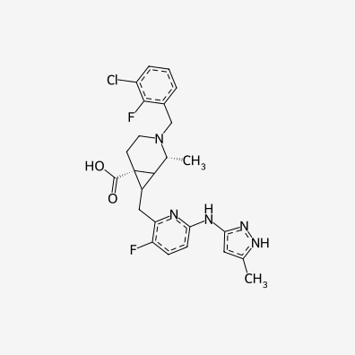 Cc1cc(Nc2ccc(F)c(CC3C4[C@@H](C)N(Cc5cccc(Cl)c5F)CC[C@]34C(=O)O)n2)n[nH]1